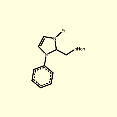 CCCCCCCCCCC1N(CC)C=CN1c1ccccc1